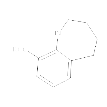 O=C(O)c1cccc2c1NCCCC2